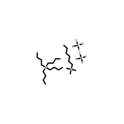 CCCCCC[N+](C)(C)C.CCCC[N+](CCCC)(CCCC)CCCC.F[B-](F)(F)F.F[B-](F)(F)F